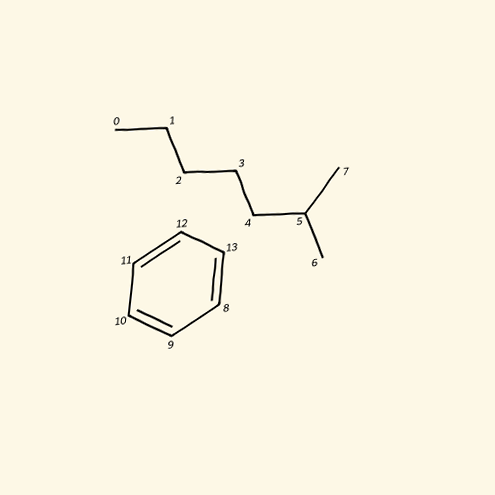 CCCCCC(C)C.c1ccccc1